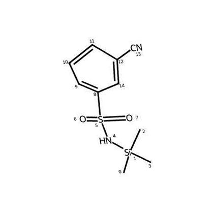 C[Si](C)(C)NS(=O)(=O)c1cccc(C#N)c1